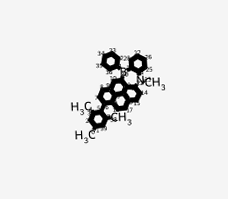 Cc1cc(C)c(-c2ccc3cc4c5c(ccc6ccc2c3c65)N(C)c2ccccc2B4c2ccccc2)c(C)c1